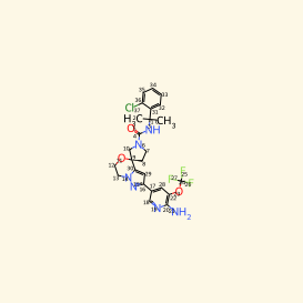 CC(C)(NC(=O)N1CC[C@]2(C1)OCCn1nc(-c3cnc(N)c(OC(F)(F)F)c3)cc12)c1ccccc1Cl